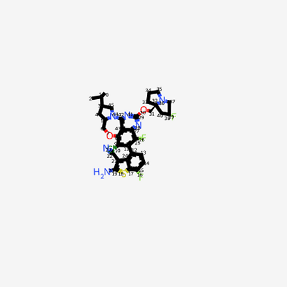 CC(C)C1CC2COc3c(Cl)c(-c4ccc(F)c5sc(N)c(C#N)c45)c(F)c4nc(OC[C@@]56CCCN5C[C@H](F)C6)nc(c34)N2C1